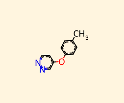 Cc1ccc(Oc2ccnnc2)cc1